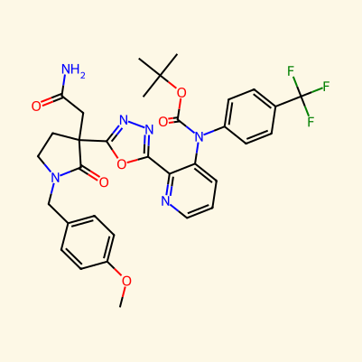 COc1ccc(CN2CCC(CC(N)=O)(c3nnc(-c4ncccc4N(C(=O)OC(C)(C)C)c4ccc(C(F)(F)F)cc4)o3)C2=O)cc1